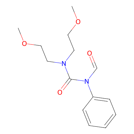 COCCN(CCOC)C(=O)N(C=O)c1ccccc1